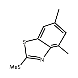 CSc1nc2c(C)cc(C)cc2s1